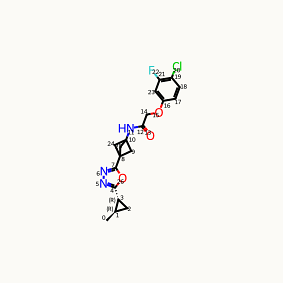 C[C@@H]1C[C@H]1c1nnc(C23CC(NC(=O)COc4ccc(Cl)c(F)c4)(C2)C3)o1